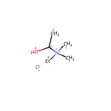 CC[N+](C)(C)C(C)O.[Cl-]